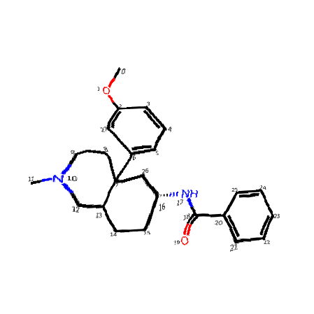 COc1cccc(C23CCN(C)CC2CC[C@@H](NC(=O)c2ccccc2)C3)c1